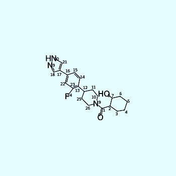 O=C(C1CCCCC1O)N1CCC(c2ccc(-c3cn[nH]c3)cc2F)CC1